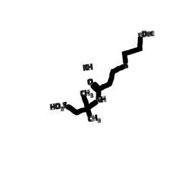 CCCCCCCCCCCCSCCC(=O)NC(C)(C)CS(=O)(=O)O.[KH]